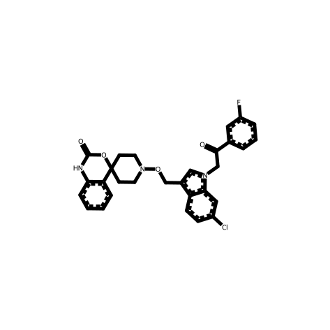 O=C1Nc2ccccc2C2(CCN(OCc3cn(CC(=O)c4cccc(F)c4)c4cc(Cl)ccc34)CC2)O1